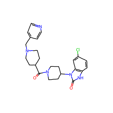 O=C(C1CCN(Cc2ccncc2)CC1)N1CCC(n2c(=O)[nH]c3ccc(Cl)cc32)CC1